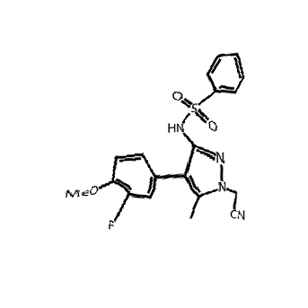 COc1ccc(-c2c(NS(=O)(=O)c3ccccc3)nn(CC#N)c2C)cc1F